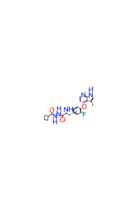 Cc1c[nH]c2nccc(Oc3ccc(CC(N)C(=O)NNC(=O)C4CCC4)cc3F)c12